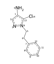 Nc1cnn(CCc2ccccc2)c1Cl